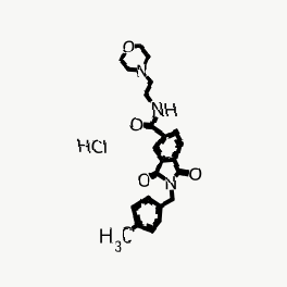 Cc1ccc(CN2C(=O)c3ccc(C(=O)NCCN4CCOCC4)cc3C2=O)cc1.Cl